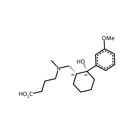 COc1cccc([C@@]2(O)CCCC[C@@H]2CN(C)CCCC(=O)O)c1